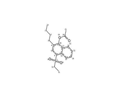 CCCCc1cc(S(=O)(=O)CC)c2ccccc2c1OC(C)=O